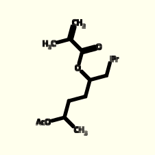 C=C(C)C(=O)OC(CCC(C)OC(C)=O)CC(C)C